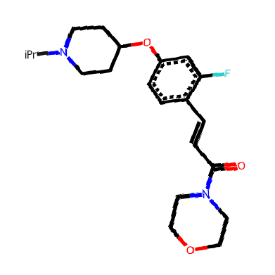 CC(C)N1CCC(Oc2ccc(C=CC(=O)N3CCOCC3)c(F)c2)CC1